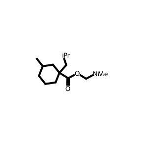 CNCOC(=O)C1(CC(C)C)CCCC(C)C1